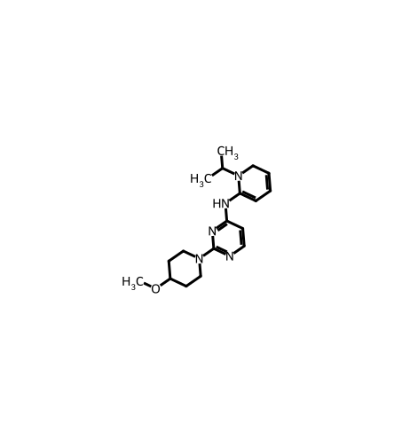 COC1CCN(c2nccc(NC3=CC=CCN3C(C)C)n2)CC1